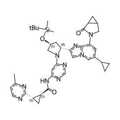 Cc1ccnc([C@H]2C[C@@H]2C(=O)Nc2cc(N3C[C@@H](O[Si](C)(C)C(C)(C)C)C[C@@H]3c3cn4cc(C5CC5)cc(N5CC6CC6C5=O)c4n3)ncn2)n1